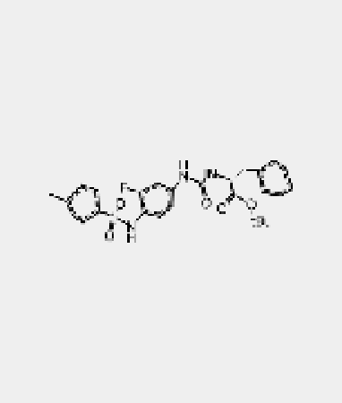 Cc1ccc(S(=O)(=O)Nc2ccc(NC(=O)N[C@H](Cc3ccccc3)C(=O)OC(C)(C)C)cc2F)cc1